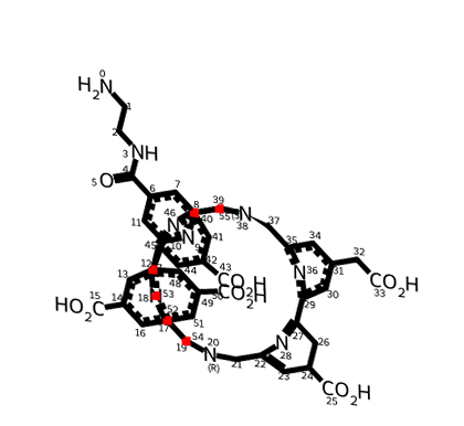 NCCNC(=O)c1cc2nc(c1)-c1cc(C(=O)O)cc(n1)C[N@]1CC3=CC(C(=O)O)CC(=N3)c3cc(CC(=O)O)cc(n3)C[N@@](Cc3cc(C(=O)O)cc(n3)-c3cc(C(=O)O)cc(n3)C1)C2